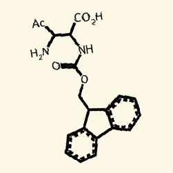 CC(=O)C(N)C(NC(=O)OCC1c2ccccc2-c2ccccc21)C(=O)O